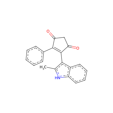 Cc1[nH]c2ccccc2c1C1=C(c2ccccc2)C(=O)CC1=O